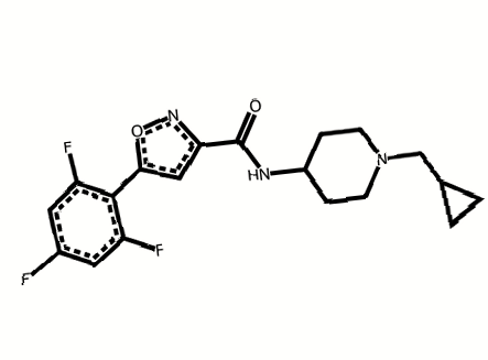 O=C(NC1CCN(CC2CC2)CC1)c1cc(-c2c(F)cc(F)cc2F)on1